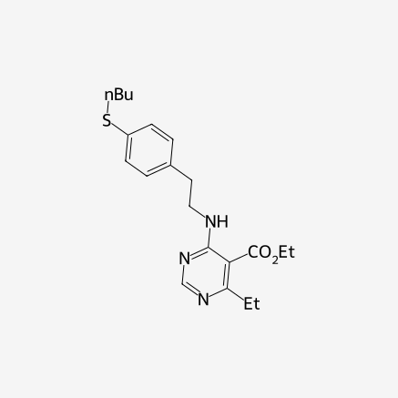 CCCCSc1ccc(CCNc2ncnc(CC)c2C(=O)OCC)cc1